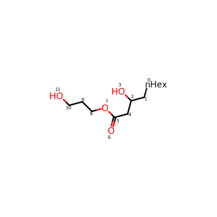 CCCCCCCC(O)CC(=O)OCCCO